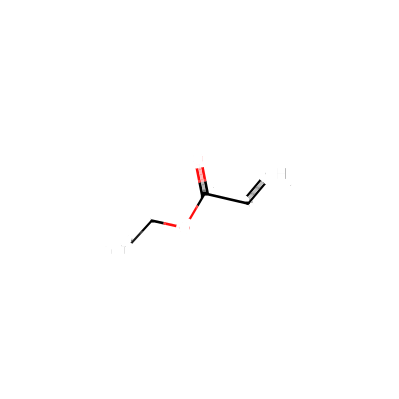 C=[C]C(=O)OCCCC